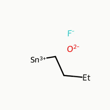 CCC[CH2][Sn+3].[F-].[O-2]